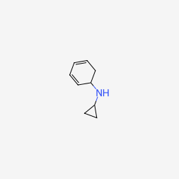 C1=CCC(NC2CC2)C=C1